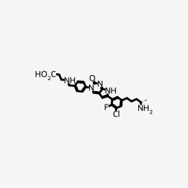 C[C@H](N)CCCc1cc(Cl)c(F)c(-c2cc3cn(-c4ccc(CNCCC(=O)O)cc4)c(=O)nc3[nH]2)c1